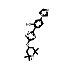 CC1(C)CC(Oc2cnc(-c3ccc(-n4ccnc4)cc3O)nn2)CC(C)(C)N1